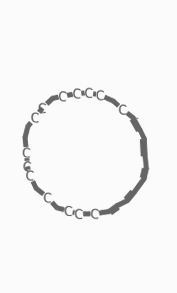 [C]1=C/C=C\C=C/C=C\C=C/CCCCCCCCCCCCCCCCCCCC\1